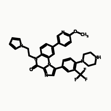 COc1ccc(-c2ccc3c(c2)n2c(-c4ccc(N5CCNCC5)c(C(F)(F)F)c4)cnc2c(=O)n3CCn2cccc2)cn1